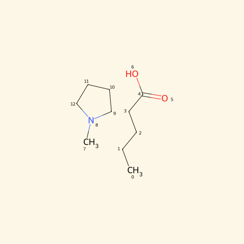 CCCCC(=O)O.CN1CCCC1